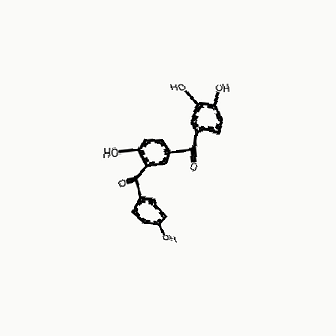 O=C(c1ccc(O)c(O)c1)c1ccc(O)c(C(=O)c2c[c]c(O)cc2)c1